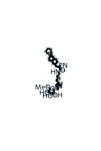 CO[C@H]1O[C@H](Cn2cc(COCCNC(=O)/C(C#N)=C/c3ccc4cc(N5CCCCC5)ccc4c3)nn2)[C@@H](O)[C@H](O)[C@H]1O